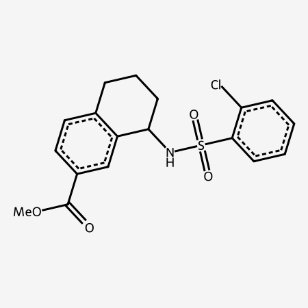 COC(=O)c1ccc2c(c1)C(NS(=O)(=O)c1ccccc1Cl)CCC2